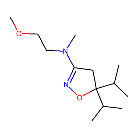 COCCN(C)C1=NOC(C(C)C)(C(C)C)C1